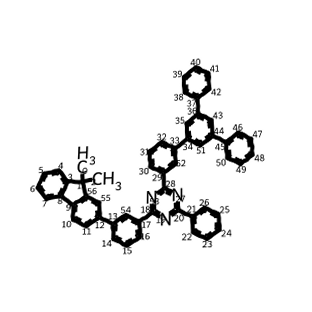 CC1(C)c2ccccc2-c2ccc(-c3cccc(-c4nc(-c5ccccc5)nc(-c5cccc(-c6cc(-c7ccccc7)cc(-c7ccccc7)c6)c5)n4)c3)cc21